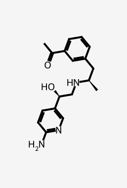 CC(=O)c1cccc(C[C@@H](C)NC[C@H](O)c2ccc(N)nc2)c1